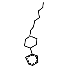 CCCCCCCN1CCC(c2ccccc2)CC1